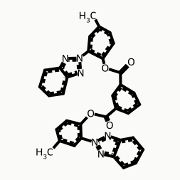 Cc1ccc(OC(=O)c2cccc(C(=O)Oc3ccc(C)cc3-n3nc4ccccc4n3)c2)c(-n2nc3ccccc3n2)c1